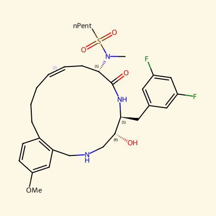 CCCCCS(=O)(=O)N(C)[C@H]1C/C=C\CCCc2ccc(OC)cc2CNC[C@@H](O)[C@H](Cc2cc(F)cc(F)c2)NC1=O